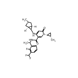 C[C@@H](NC(=O)c1cn([C@@H]2C[C@@H]2C)c(=O)cc1NC1[C@H]2CN(C)C[C@@H]12)c1cccc(C(F)F)c1F